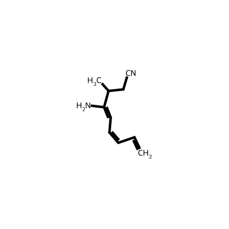 C=C/C=C\C=C(/N)C(C)CC#N